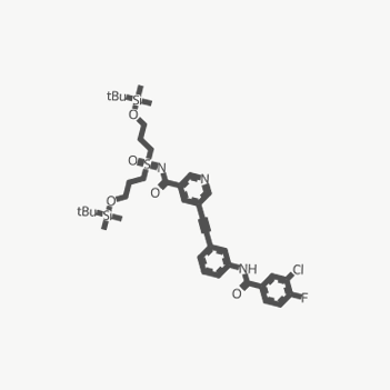 CC(C)(C)[Si](C)(C)OCCCS(=O)(CCCO[Si](C)(C)C(C)(C)C)=NC(=O)c1cncc(C#Cc2cccc(NC(=O)c3ccc(F)c(Cl)c3)c2)c1